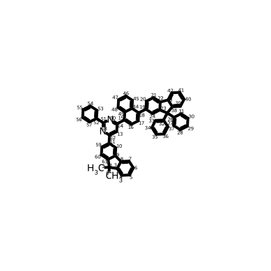 CC1(C)c2ccccc2-c2cc(-c3cc(-c4ccc(-c5ccc6c(c5)C(c5ccccc5)(c5ccccc5)c5ccccc5-6)c5ccccc45)nc(-c4ccccc4)n3)ccc21